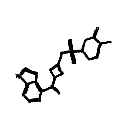 CN1CCN(S(=O)(=O)CC2CC(N(C)c3ncnc4[nH]ccc34)C2)CC1=O